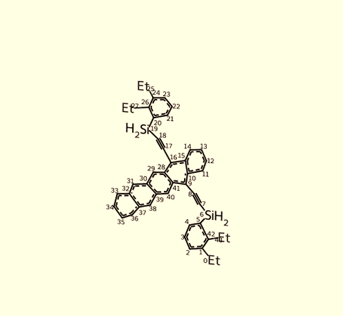 CCc1cccc([SiH2]C#Cc2c3ccccc3c(C#C[SiH2]c3cccc(CC)c3CC)c3cc4cc5ccccc5cc4cc23)c1CC